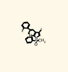 C=S(=O)(c1ccccc1)n1cc(I)c2cc(-c3ccccc3F)cnc21